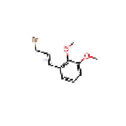 COc1cccc(/C=C/CBr)c1OC